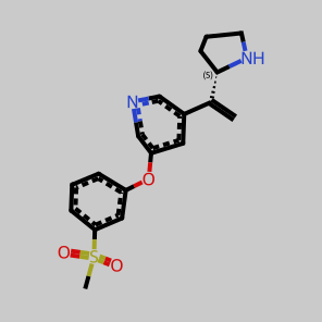 C=C(c1cncc(Oc2cccc(S(C)(=O)=O)c2)c1)[C@@H]1CCCN1